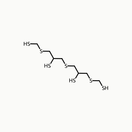 SCSCC(S)CSCC(S)CSCS